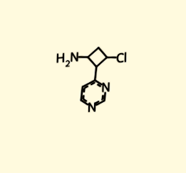 NC1CC(Cl)C1c1ccncn1